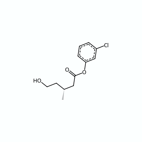 C[C@H](CCO)CC(=O)Oc1cccc(Cl)c1